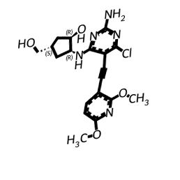 COc1ccc(C#Cc2c(Cl)nc(N)nc2N[C@@H]2C[C@H](CO)C[C@H]2O)c(OC)n1